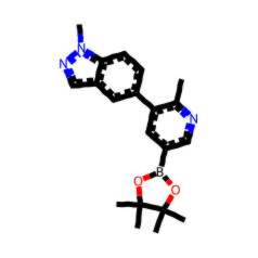 Cc1ncc(B2OC(C)(C)C(C)(C)O2)cc1-c1ccc2c(cnn2C)c1